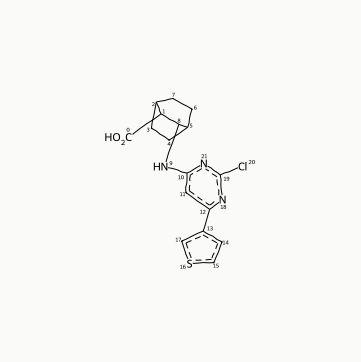 O=C(O)C1C2CCC(CC2)C1Nc1cc(-c2ccsc2)nc(Cl)n1